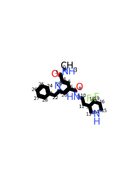 CNC(=O)c1cc(C(=O)NCCC2CNCCC2(F)F)cc(Cc2ccccc2)n1